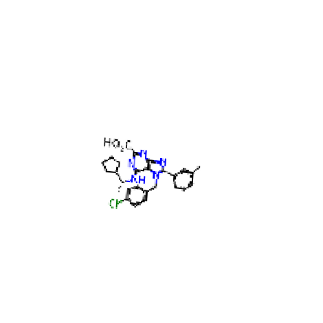 Cc1cccc(-c2nc3nc(C(=O)O)nc(N[C@H](C)C4CCCC4)c3n2Cc2ccc(Cl)cc2)c1